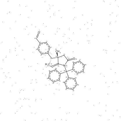 C[C@H](c1ccc(C=O)cc1)[C@]1(C)CC(=O)N(C(c2ccccc2)(c2ccccc2)c2ccccc2)C1=O